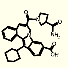 NC(=O)C1CCN(C(=O)C2=Cc3ccccc3-c3c(C4CCCCC4)c4ccc(C(=O)O)cc4n3C2)C1